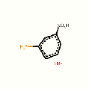 Br.O=S(=O)(O)c1cccc(P)c1